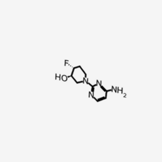 Nc1ccnc(N2CC[C@@H](F)[C@H](O)C2)n1